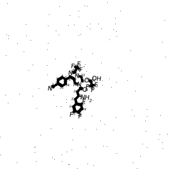 N#Cc1ccc(-c2nc(C(F)(F)F)n3c2CN(C(=O)C[C@H](N)Cc2cc(F)c(F)cc2F)CC3)cc1.O=C(O)C(F)(F)F